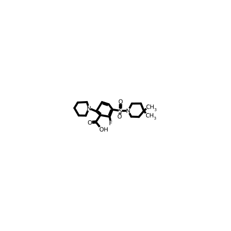 CC1(C)CCN(S(=O)(=O)c2ccc(N3CCCCC3)c(C(=O)O)c2F)CC1